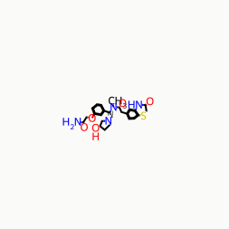 CN(C(=O)Cc1ccc2c(c1)NC(=O)CS2)[C@H](CN1CCC(O)C1)c1cccc(OCC(N)=O)c1